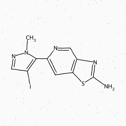 Cn1ncc(I)c1-c1cc2sc(N)nc2cn1